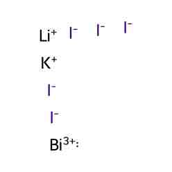 [Bi+3].[I-].[I-].[I-].[I-].[I-].[K+].[Li+]